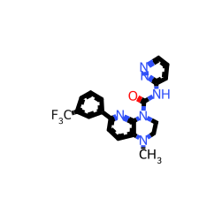 CN1CCN(C(=O)Nc2cccnn2)c2nc(-c3cccc(C(F)(F)F)c3)ccc21